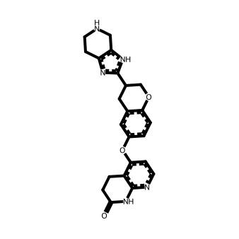 O=C1CCc2c(Oc3ccc4c(c3)CC(c3nc5c([nH]3)CNCC5)CO4)ccnc2N1